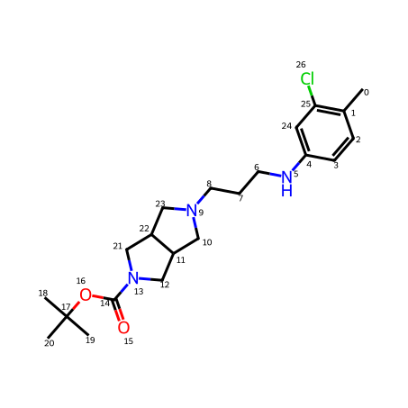 Cc1ccc(NCCCN2CC3CN(C(=O)OC(C)(C)C)CC3C2)cc1Cl